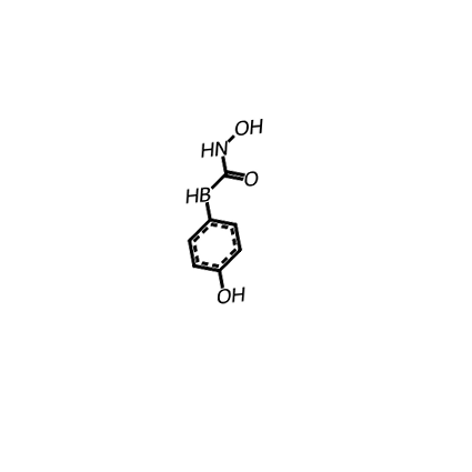 O=C(Bc1ccc(O)cc1)NO